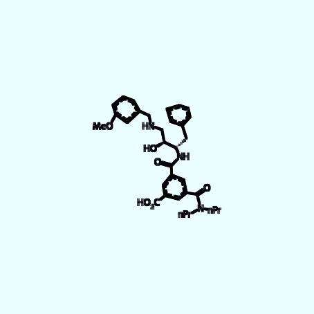 CCCN(CCC)C(=O)c1cc(C(=O)O)cc(C(=O)N[C@@H](Cc2ccccc2)[C@@H](O)CNCc2cccc(OC)c2)c1